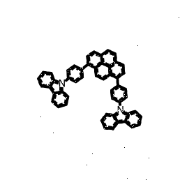 c1ccc2c(c1)c1ccccc1n2-c1ccc(-c2ccc3ccc4ccc(-c5ccc(-n6c7ccccc7c7ccccc76)cc5)c5ccc2c3c45)cc1